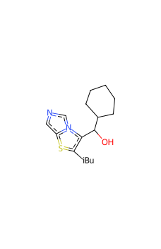 CCC(C)c1sc2cncn2c1C(O)C1CCCCC1